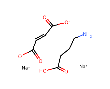 NCCCC(=O)O.O=C([O-])/C=C/C(=O)[O-].[Na+].[Na+]